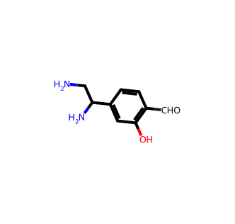 NCC(N)c1ccc(C=O)c(O)c1